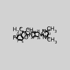 C=C(C(=C)c1cccc(F)c1)C(=O)N1CC2CN(c3nc(C)cc(C)n3)CC2C1